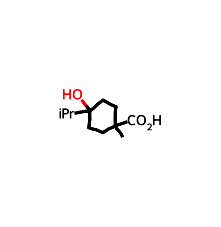 CC(C)C1(O)CCC(C)(C(=O)O)CC1